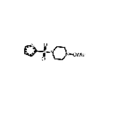 CON1CCN(S(=O)(=O)c2cccs2)CC1